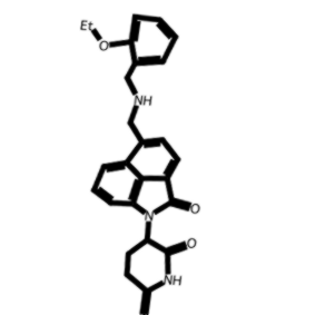 C=C1CCC(N2C(=O)c3ccc(CNCc4ccccc4OCC)c4cccc2c34)C(=O)N1